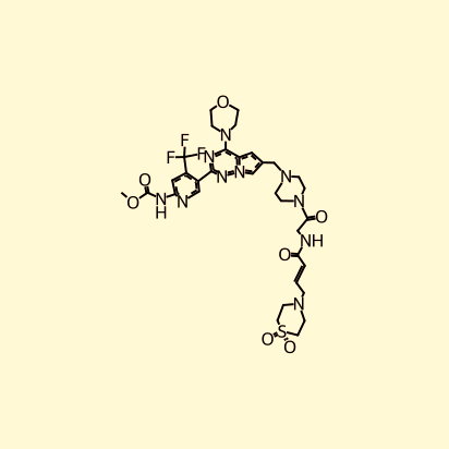 COC(=O)Nc1cc(C(F)(F)F)c(-c2nc(N3CCOCC3)c3cc(CN4CCN(C(=O)CNC(=O)/C=C/CN5CCS(=O)(=O)CC5)CC4)cn3n2)cn1